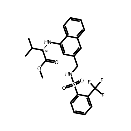 COC(=O)[C@@H](Nc1cc(CNS(=O)(=O)c2ccccc2C(F)(F)F)cc2ccccc12)C(C)C